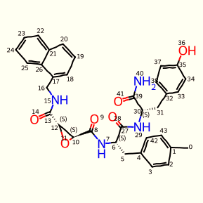 Cc1ccc(C[C@H](NC(=O)[C@H]2O[C@@H]2C(=O)NCc2cccc3ccccc23)C(=O)N[C@@H](Cc2ccc(O)cc2)C(N)=O)cc1